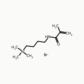 C=C(C)C(=O)NCCCC[N+](C)(C)C.[Br-]